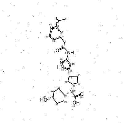 COc1cc(CC(=O)Nc2cc([C@@H]3CC[C@H](N(C(=O)O)[C@H]4CC[C@@H](O)CC4)C3)[nH]n2)ccn1